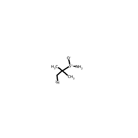 [2H]CC(C)(C)[S@+](N)[O-]